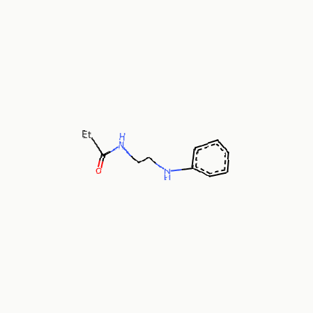 CCC(=O)NCCNc1ccccc1